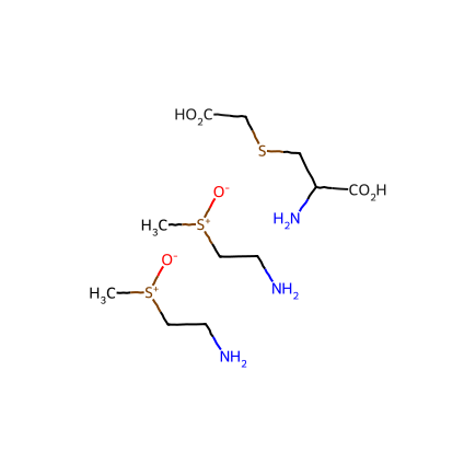 C[S+]([O-])CCN.C[S+]([O-])CCN.NC(CSCC(=O)O)C(=O)O